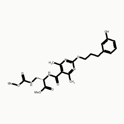 COC(=O)[C@H](CNC(=O)OC(C)(C)C)NC(=O)c1c(C)nc(OCCCc2cccc(O)c2)nc1C